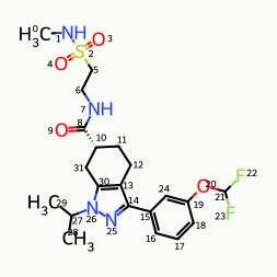 CNS(=O)(=O)CCNC(=O)[C@@H]1CCc2c(-c3cccc(OC(F)F)c3)nn(C(C)C)c2C1